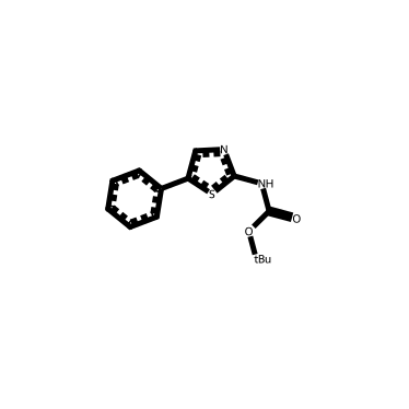 CC(C)(C)OC(=O)Nc1ncc(-c2ccccc2)s1